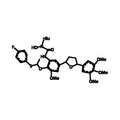 CCCCN(O)C(=O)Nc1cc(C2CCC(c3cc(OC)c(OC)c(OC)c3)O2)cc(OC)c1OC(C)Sc1ccc(F)cc1